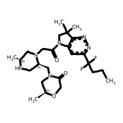 CCCC(F)(F)c1cc2c(nn1)C(C)(C)CN2C(=O)CN1C[C@@H](C)NC[C@@H]1CN1C[C@H](C)OCC1=O